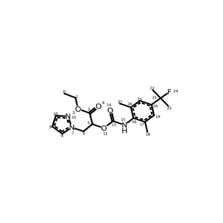 CCOC(=O)C(Cn1cccn1)OC(=O)Nc1c(C)cc(C(C)(C)F)cc1C